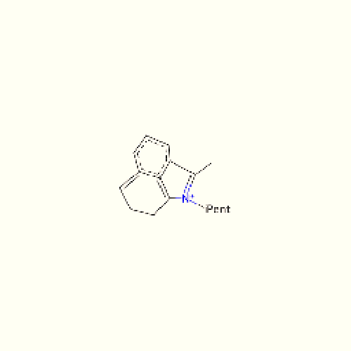 CCCC(C)[N+]1=C(C)c2cccc3c2=C1CCC=3